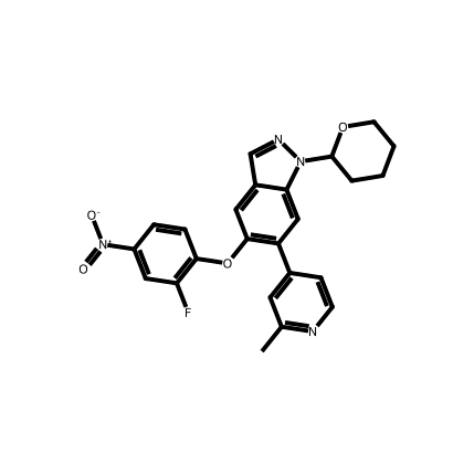 Cc1cc(-c2cc3c(cnn3C3CCCCO3)cc2Oc2ccc([N+](=O)[O-])cc2F)ccn1